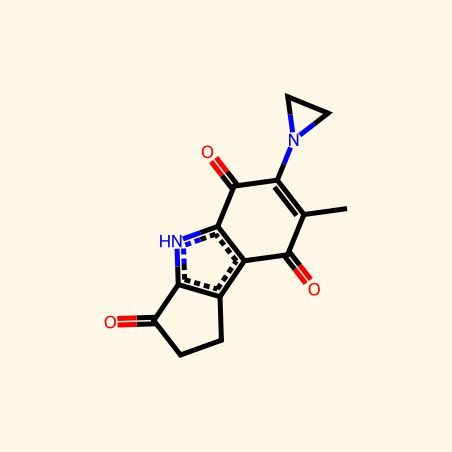 CC1=C(N2CC2)C(=O)c2[nH]c3c(c2C1=O)CCC3=O